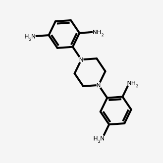 Nc1ccc(N)c(N2CCN(c3cc(N)ccc3N)CC2)c1